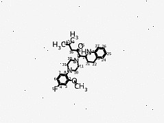 COc1cc(F)ccc1N1CCN(C(C(=O)CC(C)C)C2CCc3ccccc3N2)CC1